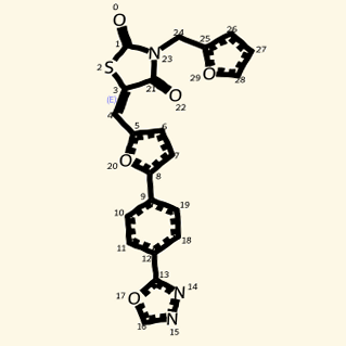 O=C1S/C(=C/c2ccc(-c3ccc(-c4nnco4)cc3)o2)C(=O)N1Cc1ccco1